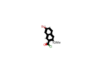 COc1cc2ccc(Br)cc2cc1C(=O)Cl